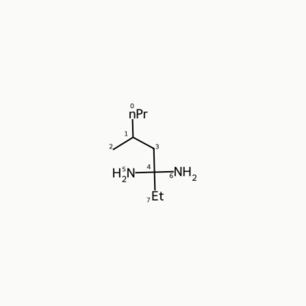 CCCC(C)CC(N)(N)CC